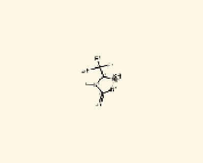 CN1C(=S)[N]NC1C(F)(F)F.[KH]